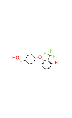 OCC1CCC(Oc2cccc(Br)c2C(F)(F)F)CC1